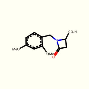 COc1ccc(CN2C(=O)CC2C(=O)O)c(OC)c1